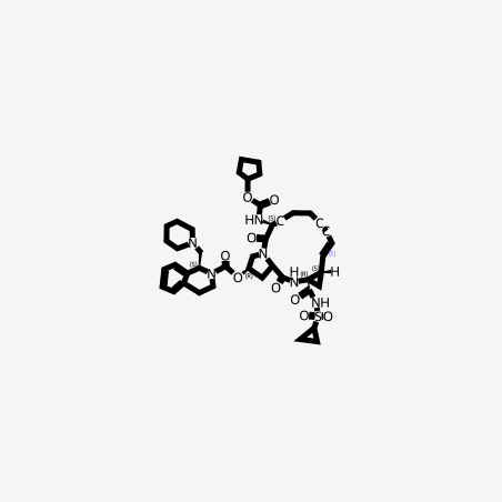 O=C(N[C@H]1CCCCC/C=C/[C@@H]2C[C@@]2(C(=O)NS(=O)(=O)C2CC2)NC(=O)C2C[C@@H](OC(=O)N3CCc4ccccc4[C@H]3CN3CCCCC3)CN2C1=O)OC1CCCC1